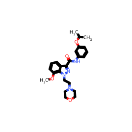 COc1cccc2c(C(=O)Nc3cccc(OC(C)C)c3)nn(CCN3CCOCC3)c12